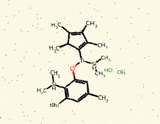 CC1=C(C)C(C)[C]([Ti]([O]c2cc(C)cc(C(C)(C)C)c2[SiH](C)C)[SiH](C)C)=C1C.Cl.Cl